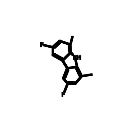 Cc1cc(F)cc2c1[nH]c1c(C)cc(F)cc12